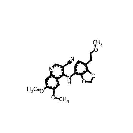 COCCc1ccc(Nc2c(C#N)cnc3cc(OC)c(OC)cc23)c2c1OCO2